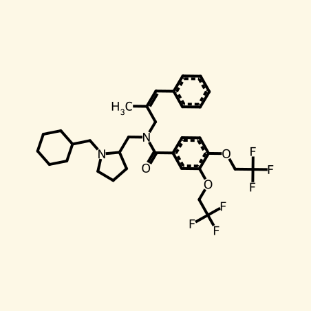 CC(=Cc1ccccc1)CN(CC1CCCN1CC1CCCCC1)C(=O)c1ccc(OCC(F)(F)F)c(OCC(F)(F)F)c1